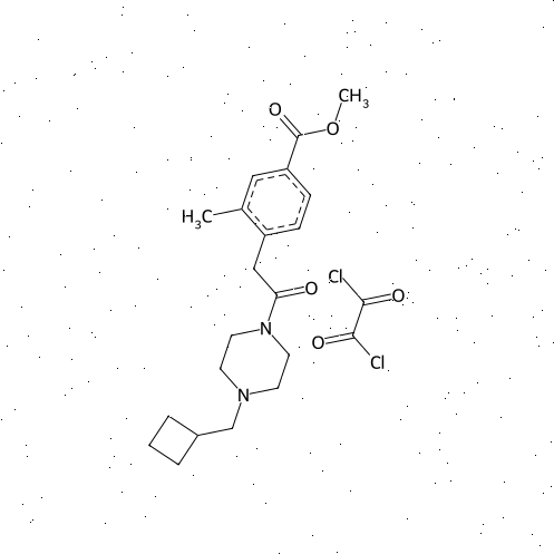 COC(=O)c1ccc(CC(=O)N2CCN(CC3CCC3)CC2)c(C)c1.O=C(Cl)C(=O)Cl